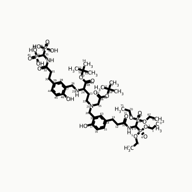 CCOP(=O)(OCC)C(NC(=O)CCc1ccc(O)c(CN(CCC(NCc2cc(CCC(=O)NC(P(=O)(O)O)P(=O)(O)O)ccc2O)C(=O)OC(C)(C)C)CC(=O)OC(C)(C)C)c1)P(=O)(OCC)OCC